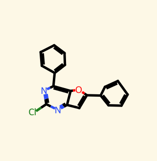 Clc1nc(-c2ccccc2)c2oc(-c3ccccc3)cc2n1